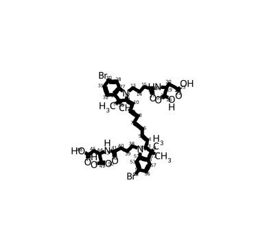 CC1(C)C(/C=C/C=C/C=C/C=C2/N(CCCC(=O)NC(CC(=O)O)C(=O)O)c3cc(Br)ccc3C2(C)C)=[N+](CCCC(=O)NC(CC(=O)O)C(=O)O)c2cc(Br)ccc21